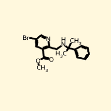 COC(=O)c1cc(Br)cnc1CNC(C)(C)c1ccccc1